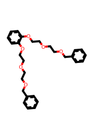 c1ccc(COCCOCCOc2ccccc2OCCOCCOCc2ccccc2)cc1